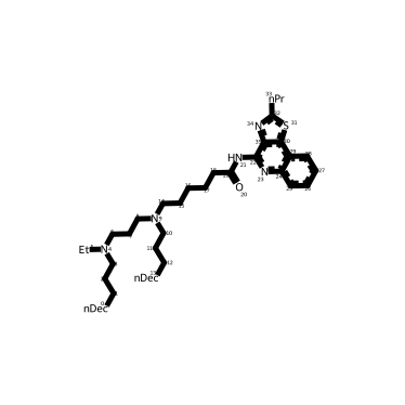 CCCCCCCCCCCCCN(CC)CCCN(CCCCCCCCCCCCC)CCCCCC(=O)Nc1nc2ccccc2c2sc(CCC)nc12